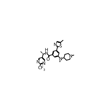 Cc1cnc(-c2cc(C(=O)N[C@H](C)c3cnc(C(F)(F)F)nc3)cc(N(C)C3CCN(C)CC3)c2)s1